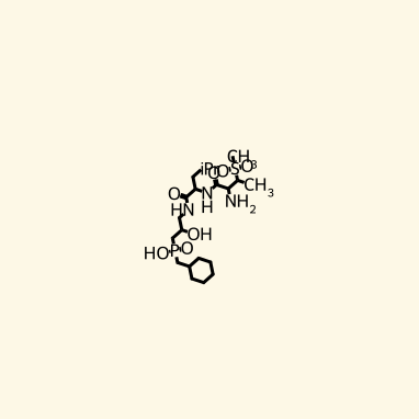 CC(C)CC(NC(=O)C(N)C(C)S(C)(=O)=O)C(=O)NCC(O)CP(=O)(O)CC1CCCCC1